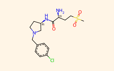 CS(=O)(=O)CC[C@H](N)C(=O)N[C@@H]1CCN(Cc2ccc(Cl)cc2)C1